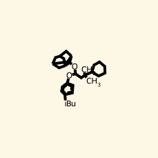 CCC(C)c1ccc(OC(CC(C)(C)C2CCCCC2)OC2C3CC4CC(C3)CC2C4)cc1